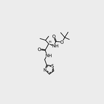 CC(C)[C@@H](NC(=O)OC(C)(C)C)C(=O)NCc1nccs1